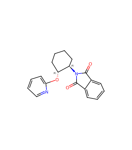 O=C1c2ccccc2C(=O)N1[C@@H]1CCCC[C@H]1Oc1ccccn1